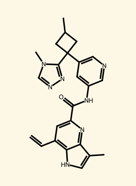 C=Cc1cc(C(=O)Nc2cncc(C3(c4nncn4C)CC(C)C3)c2)nc2c(C)c[nH]c12